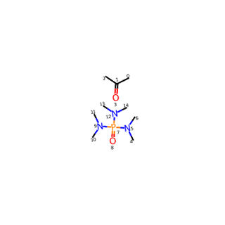 CC(C)=O.CN(C)P(=O)(N(C)C)N(C)C